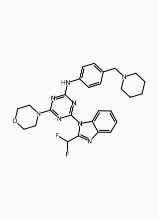 FC(F)c1nc2ccccc2n1-c1nc(Nc2ccc(CN3CCCCC3)cc2)nc(N2CCOCC2)n1